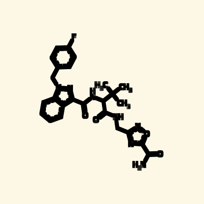 CC(C)(C)C(NC(=O)c1nn(Cc2ccc(F)cc2)c2ccccc12)C(=O)NCc1noc(C(N)=O)n1